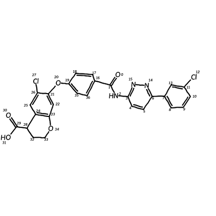 O=C(Nc1ccc(-c2cccc(Cl)c2)nn1)c1ccc(Oc2cc3c(cc2Cl)C(C(=O)O)CCO3)cc1